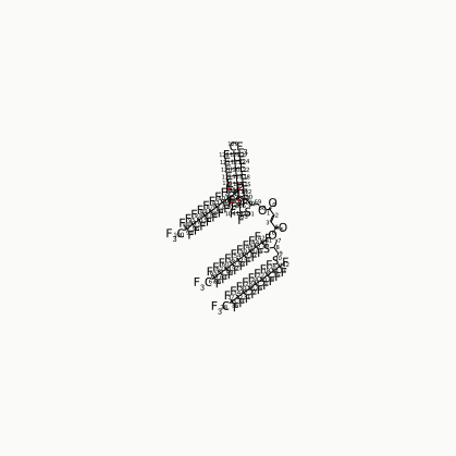 O=C(C=CC(=O)OCC(CSC(F)(F)C(F)(F)C(F)(F)C(F)(F)C(F)(F)C(F)(F)C(F)(F)C(F)(F)C(F)(F)C(F)(F)F)SC(F)(F)C(F)(F)C(F)(F)C(F)(F)C(F)(F)C(F)(F)C(F)(F)C(F)(F)C(F)(F)C(F)(F)F)OCC(CSC(F)(F)C(F)(F)C(F)(F)C(F)(F)C(F)(F)C(F)(F)C(F)(F)C(F)(F)C(F)(F)C(F)(F)F)SC(F)(F)C(F)(F)C(F)(F)C(F)(F)C(F)(F)C(F)(F)C(F)(F)C(F)(F)C(F)(F)C(F)(F)F